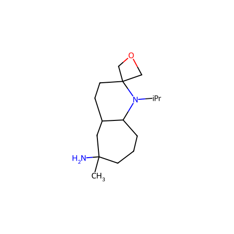 CC(C)N1C2CCCC(C)(N)CC2CCC12COC2